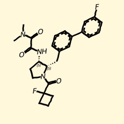 CN(C)C(=O)C(=O)N[C@H]1CCN(C(=O)C2(F)CCC2)[C@H]1Cc1cccc(-c2cccc(F)c2)c1